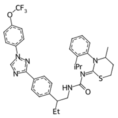 CCC(CNC(=O)/N=C1\SCCC(C)N1c1ccccc1C(C)C)c1ccc(-c2ncn(-c3ccc(OC(F)(F)F)cc3)n2)cc1